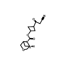 N#CCC(=O)C1CC(OC(=O)N2C3COC[C@@H]2C3)C1